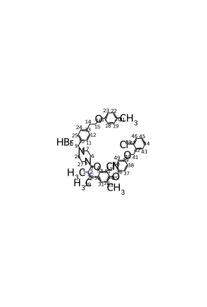 Br.C/C(C(=O)N1CCN(Cc2ccc(CCOc3ccc(C)cc3)cc2)CC1)=C(\C)c1cc(C)c(Oc2ccc(OCc3ccccc3Cl)cn2)c(Cl)c1